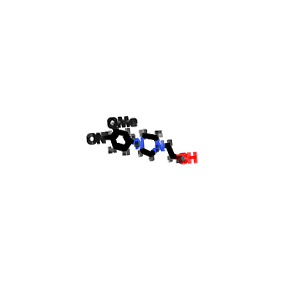 COc1cc(N2CCN(CCO)CC2)ccc1N=O